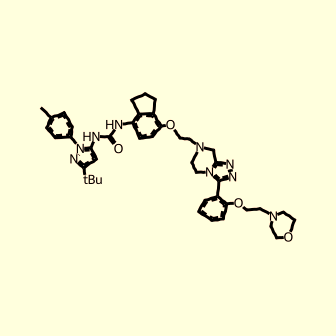 Cc1ccc(-n2nc(C(C)(C)C)cc2NC(=O)Nc2ccc(OCCN3CCn4c(nnc4-c4ccccc4OCCN4CCOCC4)C3)c3c2CCC3)cc1